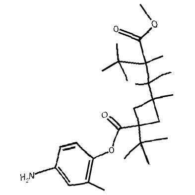 COC(=O)C(C)(C(C)(C)C)C(C)(C)C1(C)CC(C(=O)Oc2ccc(N)cc2C)(C(C)(C)C)C1